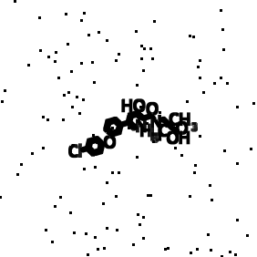 CC(C)(CNC(=O)c1ncc(-c2cccc(Oc3ccc(Cl)cc3)c2)cc1O)C(=O)O